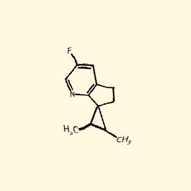 CC1C(C)C12CCc1cc(F)cnc12